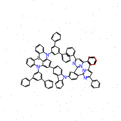 c1ccc(-c2cc(-c3ccccc3)cc(N3c4ccccc4B4c5ccccc5N(c5cc(-c6ccccc6)cc(-c6ccccc6)c5)c5cc(-c6ccc7c(c6)c6ccccc6n7-c6ccc(-c7nc(-c8ccccc8)cc(-c8ccccc8)n7)c(-c7nc(-c8ccccc8)cc(-c8ccccc8)n7)c6)cc3c54)c2)cc1